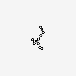 c1cc(-c2ccc(-c3ccc(N(c4ccc(-c5ccc6ccccc6c5)cc4)c4cc5ccccc5c5ccccc45)cc3)cc2)cc(-c2cc3ccccc3o2)c1